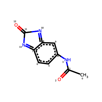 CC(=O)Nc1ccc2c(c1)=NC(=O)N=2